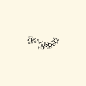 Cl.c1ccc(Oc2ccc(OCCCCCCCN3CCCCC3)cc2)cc1